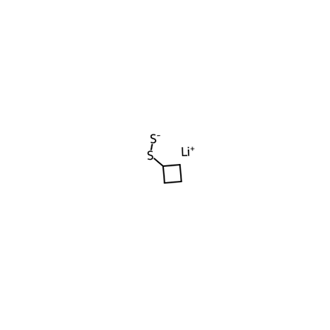 [Li+].[S-]SC1CCC1